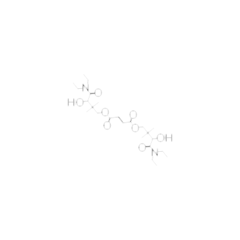 CCN(CC)C(=O)[C@H](O)C(C)(C)COC(=O)/C=C/C(=O)OCC(C)(C)[C@@H](O)C(=O)N(CC)CC